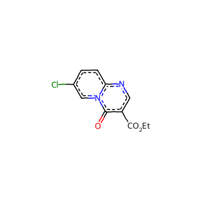 CCOC(=O)c1cnc2ccc(Cl)cn2c1=O